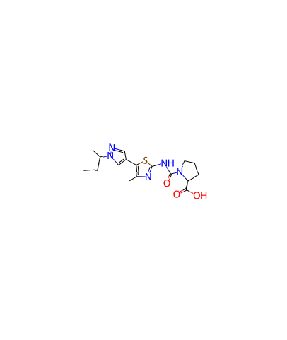 CCC(C)n1cc(-c2sc(NC(=O)N3CCC[C@H]3C(=O)O)nc2C)cn1